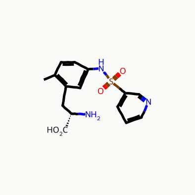 Cc1ccc(NS(=O)(=O)c2cccnc2)cc1C[C@H](N)C(=O)O